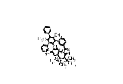 Cc1ccc(-n2c(-c3cccc(-c4c(C)c(-c5ccccc5)c(C)c(-c5ccccc5)c4C)c3)nnc2C(C)C(C)(C)C)c(CC(C)C)c1